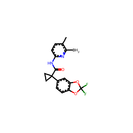 Bc1nc(NC(=O)C2(c3ccc4c(c3)OC(F)(F)O4)CC2)ccc1C